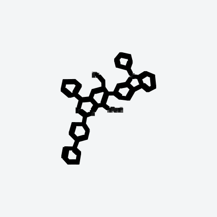 CCCCCc1c(-c2ccc3c4ccccc4n(-c4ccccc4)c3c2)c(CC(C)C)cc2c(-c3ccccc3)nc(C3C=CC(c4c#cccc4)=CC3)nc12